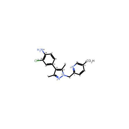 Cc1nn(Cc2ccc(C(=O)O)cn2)c(C)c1-c1ccc(N)c(Cl)c1